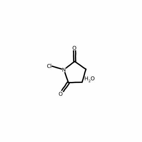 O.O=C1CCC(=O)N1Cl